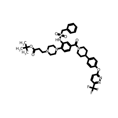 CC(C)(C)OC(=O)CCN1CCN(c2ccc(C(=O)N3CCC(c4ccc(Oc5ccc(C(F)(F)F)nn5)cc4)CC3)cc2NS(=O)(=O)Cc2ccccc2)CC1